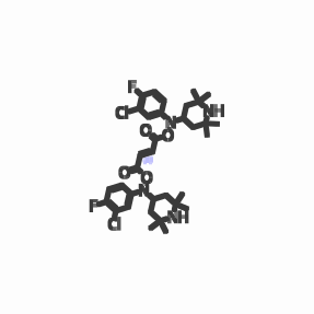 CC1(C)CC(N(OC(=O)/C=C/C(=O)ON(c2ccc(F)c(Cl)c2)C2CC(C)(C)NC(C)(C)C2)c2ccc(F)c(Cl)c2)CC(C)(C)N1